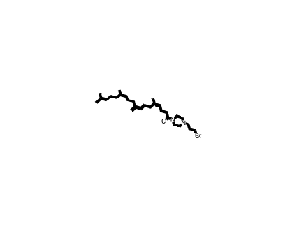 CC(C)=CCCC(C)=CCCC(C)=CCCC(C)=CCCC(=O)N1CCN(CCCBr)CC1